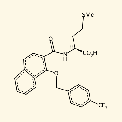 CSCC[C@H](NC(=O)c1ccc2ccccc2c1OCc1ccc(C(F)(F)F)cc1)C(=O)O